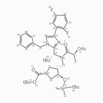 CC(=O)O[C@@H](C)C(=O)N(C[C@H]1CN(C(=O)OC(C)(C)C)C[C@@H]1O[Si](C)(C)C(C)(C)C)[C@@H](c1nc(-c2cc(F)ccc2F)cn1Cc1ccccc1)C(C)(C)C